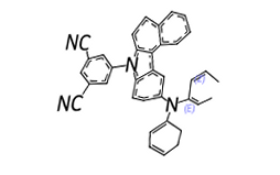 C/C=C\C(=C/C)N(C1=CC=CCC1)c1ccc2c(c1)c1c3ccccc3ccc1n2-c1cc(C#N)cc(C#N)c1